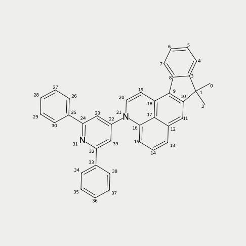 CC1(C)c2ccccc2-c2c1cc1cccc3c1c2C=CN3c1cc(-c2ccccc2)nc(-c2ccccc2)c1